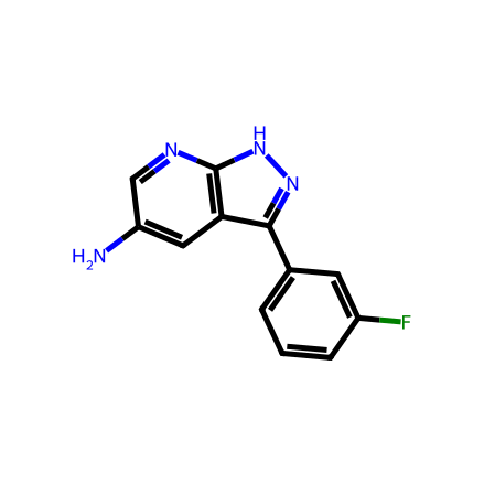 Nc1cnc2[nH]nc(-c3cccc(F)c3)c2c1